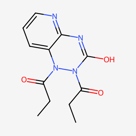 CCC(=O)N1C(O)=Nc2ncccc2N1C(=O)CC